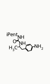 CCC[C@@H](C)NC(=O)N[C@H](C)Cc1ccc(N)cc1